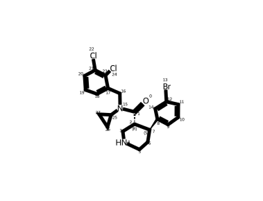 O=C([C@H]1CNCC[C@@H]1c1cccc(Br)c1)N(Cc1cccc(Cl)c1Cl)C1CC1